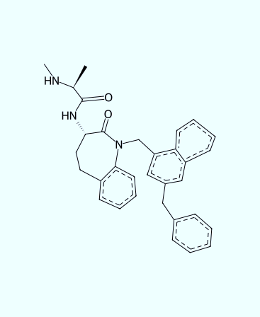 CN[C@@H](C)C(=O)N[C@H]1CCc2ccccc2N(Cc2cc(Cc3ccccc3)cc3ccccc23)C1=O